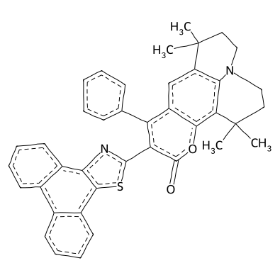 CC1(C)CCN2CCC(C)(C)c3c2c1cc1c(-c2ccccc2)c(-c2nc4c5ccccc5c5ccccc5c4s2)c(=O)oc31